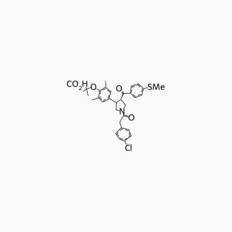 CSc1ccc(C(=O)[C@H]2CN(C(=O)Cc3ccc(Cl)cc3)CC2c2cc(C)c(OC(C)(C)C(=O)O)c(C)c2)cc1